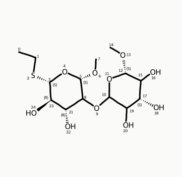 CCS[C@@H]1O[C@H](OC)C(OC2O[C@H](OC)C(O)[C@H](O)C2O)[C@H](O)[C@H]1O